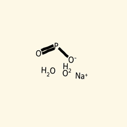 O.O.O=P[O-].[Na+]